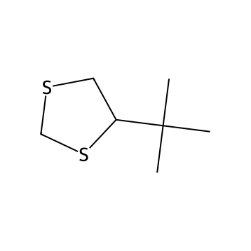 CC(C)(C)C1CSCS1